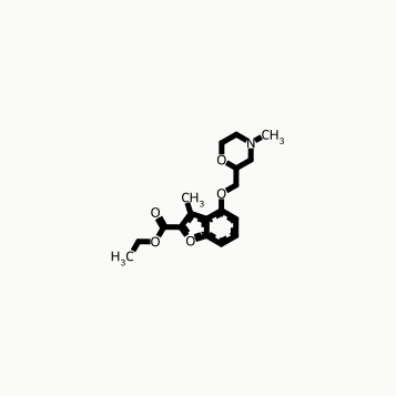 CCOC(=O)c1oc2cccc(OCC3CN(C)CCO3)c2c1C